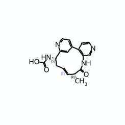 C[C@@H]1/C=C/C[C@H](NC(=O)O)c2cc(ccn2)-c2ccncc2NC1=O